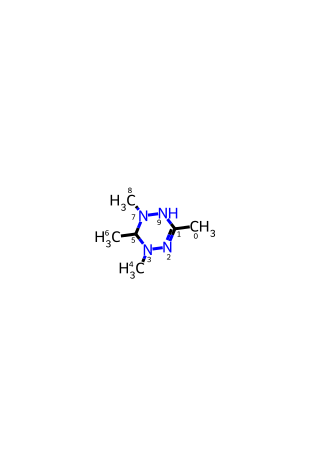 CC1=NN(C)C(C)N(C)N1